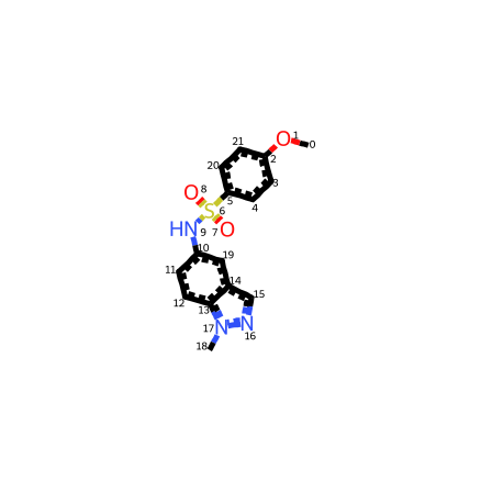 COc1ccc(S(=O)(=O)Nc2ccc3c(cnn3C)c2)cc1